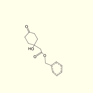 O=C1CCC(O)(CC(=O)OCc2ccccc2)CC1